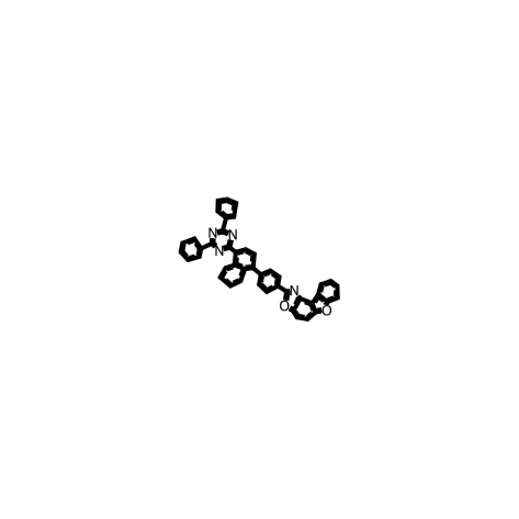 c1ccc(-c2nc(-c3ccccc3)nc(-c3ccc(-c4ccc(-c5nc6c(ccc7oc8ccccc8c76)o5)cc4)c4ccccc34)n2)cc1